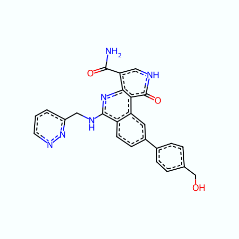 NC(=O)c1c[nH]c(=O)c2c1nc(NCc1cccnn1)c1ccc(-c3ccc(CO)cc3)cc12